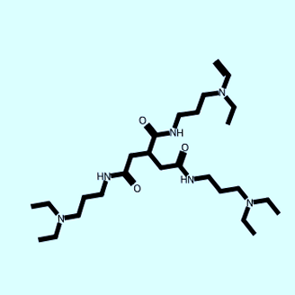 C=CN(CC)CCCNC(=O)C(CC(=O)NCCCN(CC)CC)CC(=O)NCCCN(CC)CC